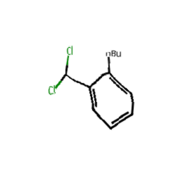 CCCCc1ccccc1C(Cl)Cl